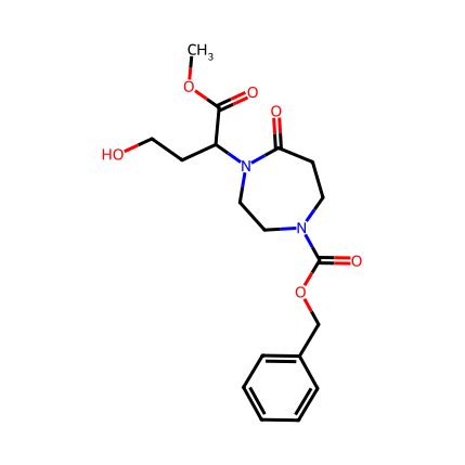 COC(=O)C(CCO)N1CCN(C(=O)OCc2ccccc2)CCC1=O